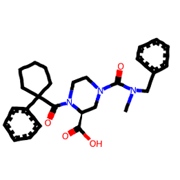 CN(Cc1ccccc1)C(=O)N1CCN(C(=O)C2(c3ccccc3)CCCCC2)[C@H](C(=O)O)C1